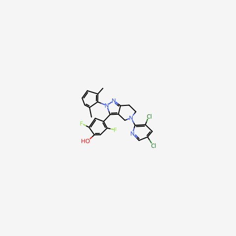 Cc1cccc(C)c1-n1nc2c(c1-c1cc(F)c(O)cc1F)CN(c1ncc(Cl)cc1Cl)CC2